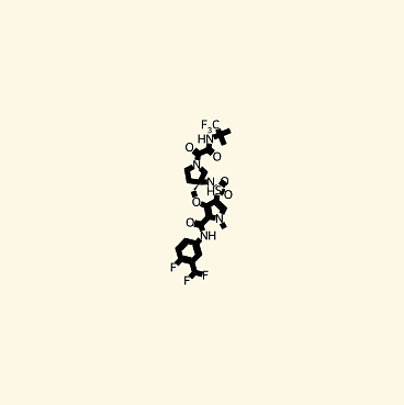 Cn1cc2c(c1C(=O)Nc1ccc(F)c(C(F)F)c1)OC[C@@]1(CCN(C(=O)C(=O)NC(C)(C)C(F)(F)F)C1)NS2(=O)=O